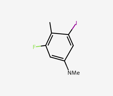 CNc1cc(F)c(C)c(I)c1